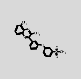 Cc1nc2c(C(F)(F)F)cccc2nc1-c1cccc(Oc2cccc(S(C)(=O)=O)c2)c1